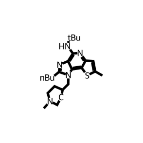 CCCCc1nc2c(NC(C)(C)C)nc3cc(C)sc3c2n1CC1CCN(C)CC1